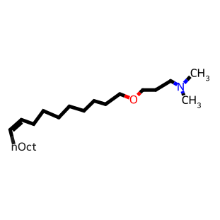 CCCCCCCC/C=C\CCCCCCCCOCCCN(C)C